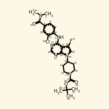 CN(C)C(=O)c1ccc(Nc2ncnc3c2c(F)cn3C2CCN(C(=O)OC(C)(C)C)CC2)c(Cl)c1